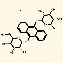 C[C@H]1O[C@@H](Oc2c3c(c(O[C@@H]4O[C@H](CO)[C@@H](O)[C@H](O)[C@H]4O)c4ccccc24)C=COC3)[C@H](O)[C@@H](O)[C@@H]1O